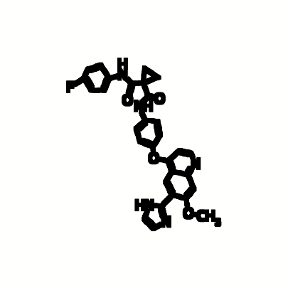 COc1cc2nccc(Oc3ccc(NC(=O)C4(C(=O)Nc5ccc(F)cc5)CC4)cc3)c2cc1-c1ncc[nH]1